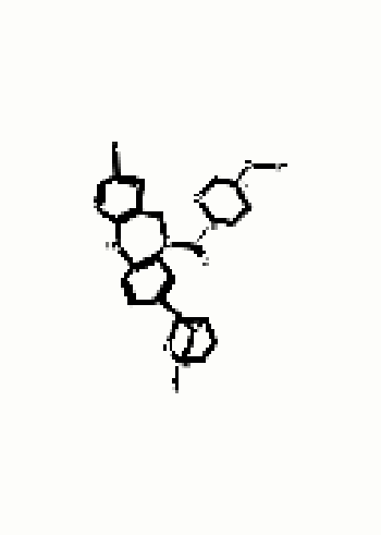 CC(C)O[C@H]1CC[C@H](C(=O)N2Cc3cc(F)cnc3Nc3ccc(N4C[C@@H]5CCC4CO5)cc32)OC1